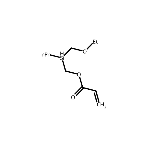 C=CC(=O)OC[SiH](CCC)COCC